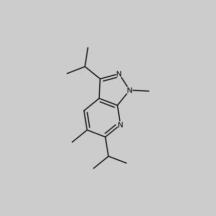 Cc1cc2c(C(C)C)nn(C)c2nc1C(C)C